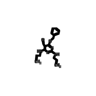 C=CCNc1nc(NCC=C)c(C=O)c(OCc2ccccc2)n1